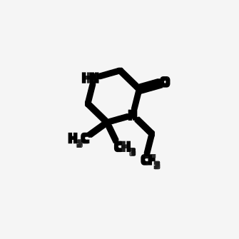 CC1(C)CNCC(=O)N1CC(F)(F)F